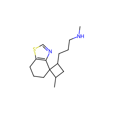 CNCCCC1CC(C)C12CCCc1scnc12